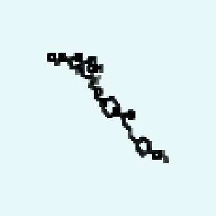 C[C@](O)(COCN1CCN(C(=O)CC=Cc2ccc(C(F)(F)F)cc2)CC1)Cn1cc([N+](=O)[O-])nc1Cl